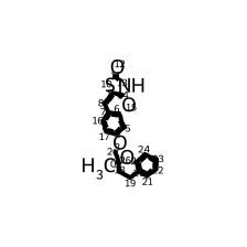 CC1(COc2ccc(C=C3SC(=O)NC3=O)cc2)CCc2ccccc2O1